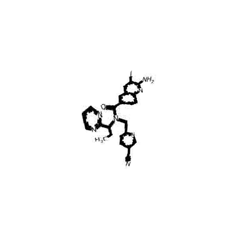 CCC(c1ncccn1)N(Cc1ccc(C#N)cn1)C(=O)c1ccc2nc(N)c(I)cc2c1